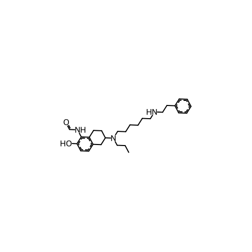 CCCN(CCCCCCNCCc1ccccc1)C1CCc2c(ccc(O)c2NC=O)C1